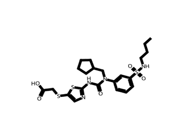 CCCCNS(=O)(=O)c1cccc(N(CC2CCCC2)C(=O)Nc2ncc(SCC(=O)O)s2)c1